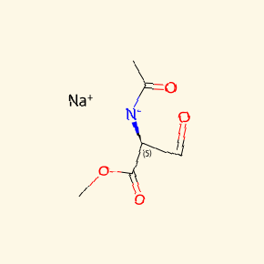 COC(=O)[C@H](C=O)[N-]C(C)=O.[Na+]